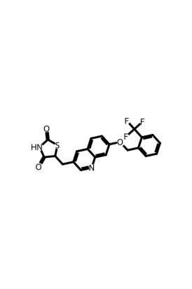 O=C1NC(=O)C(Cc2cnc3cc(OCc4ccccc4C(F)(F)F)ccc3c2)S1